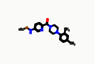 CCCCSNc1ccc(C(=O)N2CCN(c3ccc(C)cc3C)CC2)nc1